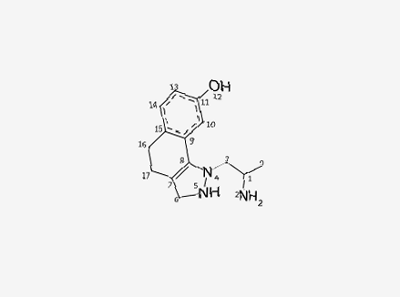 CC(N)CN1NCC2=C1c1cc(O)ccc1CC2